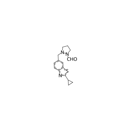 O=CN1CCCN1Cc1ccc2nc(C3CC3)sc2c1